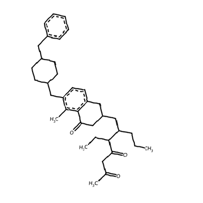 CCCC(CC1CC(=O)c2c(ccc(CC3CCC(Cc4ccccc4)CC3)c2C)C1)C(CC)C(=O)CC(C)=O